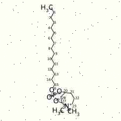 CCCCCCCCCCCCCCCCOP1(=O)OC2CCC[N+](C)(C)C(C2)O1